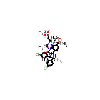 CCOc1cc(C(C)(C)OC)ccc1C1=N[C@@](C)(c2ccc(Cl)cc2)[C@@](C)(c2ccc(Cl)cc2)N1C(=O)N1CCN(CCCS(C)(=O)=O)CC1